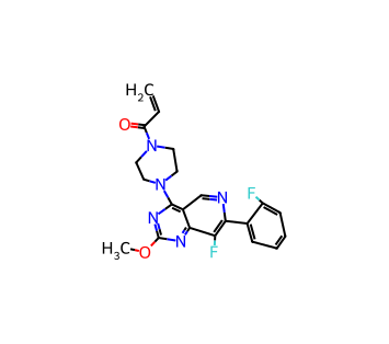 C=CC(=O)N1CCN(c2nc(OC)nc3c(F)c(-c4ccccc4F)ncc23)CC1